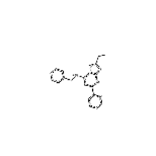 CCc1cc2c(NCc3ccccc3)nc(-c3ccccn3)nc2s1